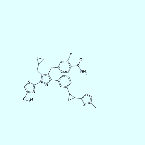 Cc1ccc(C2CC2c2cccc(-c3nn(-c4nc(C(=O)O)cs4)c(CC4CC4)c3Cc3ccc([S+](N)[O-])c(F)c3)c2)s1